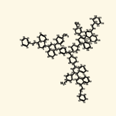 Cc1ccc(-c2cc(-c3ccc(/C=C/c4ccccc4)c4ccccc34)c3ccccc3c2-c2ccc(N(c3ccc(-c4cc(-c5ccc(C)cc5)c(-c5ccc(/C=C/c6ccccc6)c6ccccc56)c5ccccc45)cc3)c3ccc(-c4cc(-c5ccc(C)cc5)c(-c5ccc(/C=C/c6ccccc6)c6ccccc56)c5ccccc45)cc3)cc2)cc1